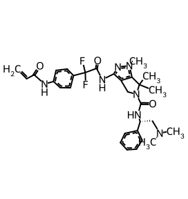 C=CC(=O)Nc1ccc(C(F)(F)C(=O)Nc2nn(C)c3c2CN(C(=O)N[C@H](CN(C)C)c2ccccc2)C3(C)C)cc1